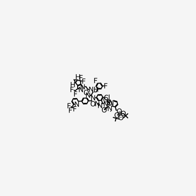 CN(C(=O)N(c1nn(C)c2c(-n3c([C@H](Cc4cc(F)cc(F)c4)NC(=O)Cn4nc(C(F)F)c5c4C(F)(F)[C@@H]4C[C@H]54)nc4cc(-c5cccc(C(F)(F)F)n5)ccc4c3=O)ccc(Cl)c12)S(C)(=O)=O)c1ncccc1COP(=O)(OC(C)(C)C)OC(C)(C)C